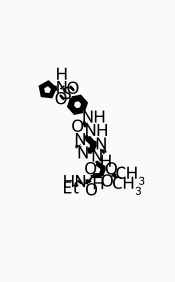 CCNC(=O)[C@H]1O[C@@H](n2cnc3c(NC(=O)Nc4ccc(S(=O)(=O)NC5CCCC5)cc4)ncnc32)[C@@H]2OC(C)(C)O[C@@H]21